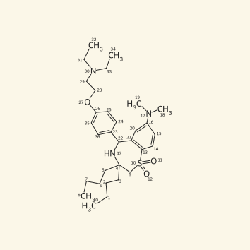 CCCCC1(CCCC)CS(=O)(=O)c2ccc(N(C)C)cc2C(c2ccc(OCCN(CC)CC)cc2)N1